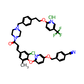 Cc1cc(C=CC(=O)N2CCN(Cc3ccc(CCOc4ccc(C(F)(F)F)cn4)cc3)CC2)cc(Cl)c1Oc1ccc(OCc2ccc(C#N)cc2)cn1.Cl